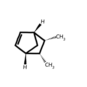 C[C@@H]1[C@H](C)[C@@H]2C=C[C@H]1C2